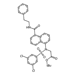 CC(C)(C)OC(=O)CN(c1cccc2c(C(=O)NCCc3ccccc3)cccc12)S(=O)(=O)c1cc(Cl)cc(Cl)c1